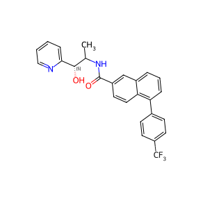 CC(NC(=O)c1ccc2c(-c3ccc(C(F)(F)F)cc3)cccc2c1)[C@H](O)c1ccccn1